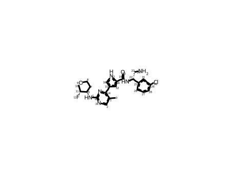 Cc1cnc(N[C@H]2CCOC[C@H]2F)nc1-c1c[nH]c(C(=O)N[C@H](CN)c2cccc(Cl)c2)c1